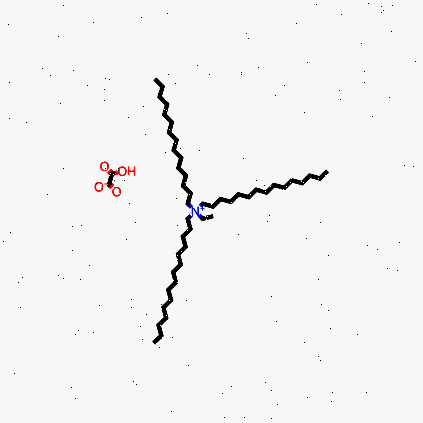 CCCCCCCCCCCCCCC[N+](CC)(CCCCCCCCCCCCCCC)CCCCCCCCCCCCCCC.O=C([O-])C(=O)O